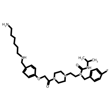 CC(C)NC(=O)N(CCN1CCN(C(=O)COc2ccc(CNCCCCCCN)cc2)CC1)Cc1ccc(F)cc1